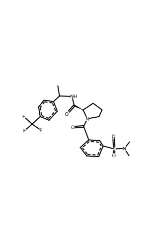 CC(NC(=O)[C@H]1CCCN1C(=O)c1cccc(S(=O)(=O)N(C)C)c1)c1ccc(C(F)(F)F)cc1